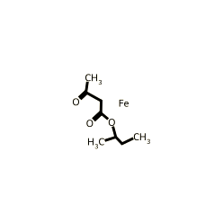 CCC(C)OC(=O)CC(C)=O.[Fe]